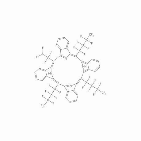 FC(F)C(F)(F)c1c2nc(c(C(F)(F)C(F)(F)C(F)(F)C(F)(F)F)c3[nH]c(c(C(F)(F)C(F)(F)C(F)(F)C(F)(F)F)c4nc(c(C(F)(F)C(F)(F)C(F)(F)C(F)(F)F)c5[nH]c1c1ccccc51)-c1ccccc1-4)c1ccccc31)-c1ccccc1-2